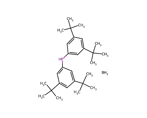 B.CC(C)(C)c1cc(Pc2cc(C(C)(C)C)cc(C(C)(C)C)c2)cc(C(C)(C)C)c1